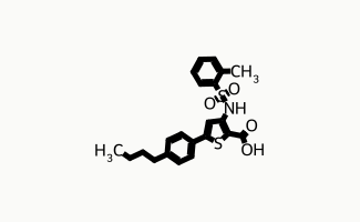 CCCCc1ccc(-c2cc(NS(=O)(=O)c3ccccc3C)c(C(=O)O)s2)cc1